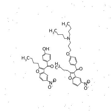 CCCCc1oc2ccc([N+](=O)[O-])cc2c1C(=O)c1ccc(O)cc1.CCCCc1oc2ccc([N+](=O)[O-])cc2c1C(=O)c1ccc(OCCCN(CCCC)CCCC)cc1